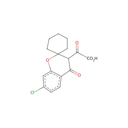 O=C(O)C(=O)C1C(=O)c2ccc(Cl)cc2OC12CCCCC2